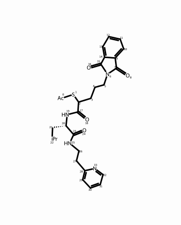 CC(=O)SC(CCCN1C(=O)c2ccccc2C1=O)C(=O)N[C@@H](CC(C)C)C(=O)NCCc1ccccn1